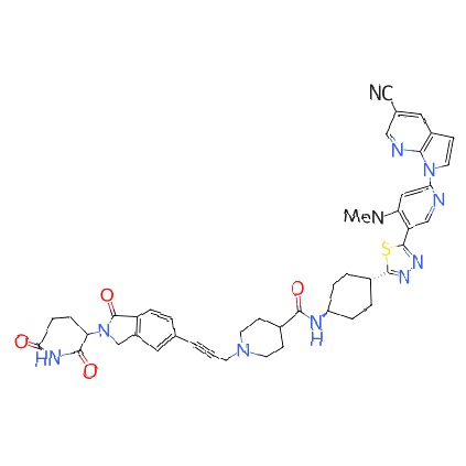 CNc1cc(-n2ccc3cc(C#N)cnc32)ncc1-c1nnc([C@H]2CC[C@H](NC(=O)C3CCN(CC#Cc4ccc5c(c4)CN(C4CCC(=O)NC4=O)C5=O)CC3)CC2)s1